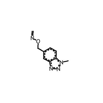 C=NOCc1ccc2c(c1)nnn2C